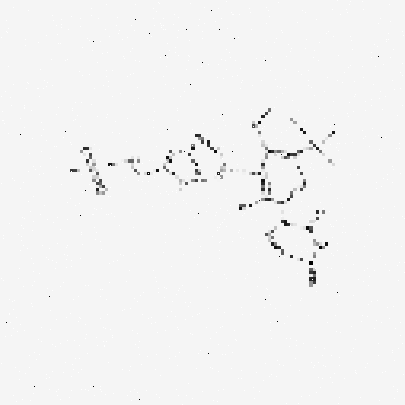 COc1c(C(C)(C)C)cc(-n2ccc(=O)[nH]c2=O)c(F)c1-c1ccc2cc(CNS(C)(=O)=O)sc2c1